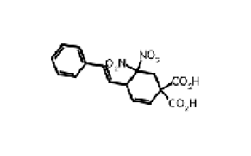 O=C(O)C1(C(=O)O)C=CC(C=Cc2ccccc2)C([N+](=O)[O-])([N+](=O)[O-])C1